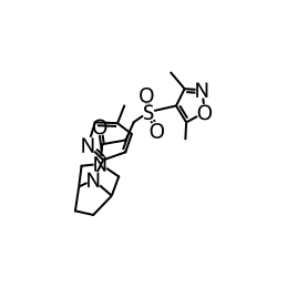 Cc1ccc(N2C3CCC2CN(C(=O)CCS(=O)(=O)c2c(C)noc2C)C3)nc1